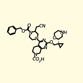 N#CCC1CN(c2nc(OCC3([C@H]4CNCCO4)CC3)nc3c2CCN(C(=O)O)C3)CCN1C(=O)OCc1ccccc1